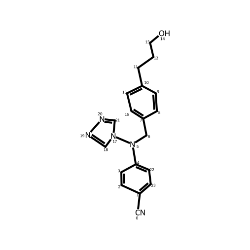 N#Cc1ccc(N(Cc2ccc(CCCO)cc2)n2cnnc2)cc1